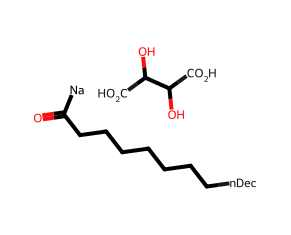 CCCCCCCCCCCCCCCCC[C](=O)[Na].O=C(O)C(O)C(O)C(=O)O